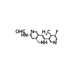 Cc1c(F)cncc1C1=Cc2cnc(NC=O)cc2CN1